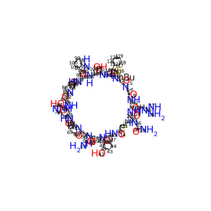 CCCC[C@H]1C(=O)N(C)[C@@H](C)C(=O)N[C@@H](CCCNC(=N)N)C(=O)NC(C(=O)NCC(N)=O)CSCC(=O)N[C@@H](Cc2ccc(O)cc2)C(=O)N(C)[C@@H](C)C(=O)N[C@@H](CC(N)=O)C(=O)N2CCC[C@H]2C(=O)N[C@@H](Cc2cnc[nH]2)C(=O)N[C@H](CO)C(=O)N2CCC[C@H]2C(=O)N[C@@H](Cc2c[nH]c3ccccc23)C(=O)N[C@@H](CO)C(=O)N[C@@H](Cc2csc3ccccc23)C(=O)N1C